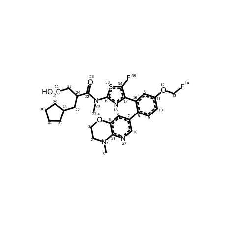 CN1CCOc2cc(-c3ccc(OCF)cc3-c3nc(N(C)C(=O)C(CC(=O)O)CC4CCCC4)sc3F)cnc21